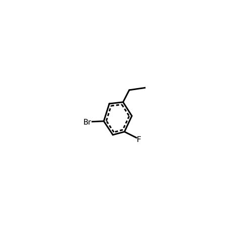 CCc1cc(F)cc(Br)c1